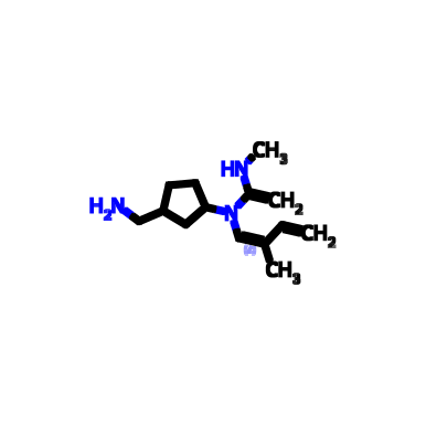 C=C/C(C)=C\N(C(=C)NC)C1CCC(CN)C1